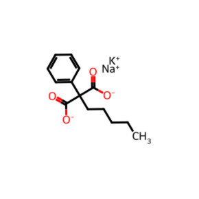 CCCCCC(C(=O)[O-])(C(=O)[O-])c1ccccc1.[K+].[Na+]